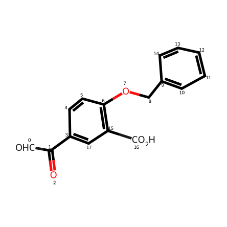 O=CC(=O)c1ccc(OCc2ccccc2)c(C(=O)O)c1